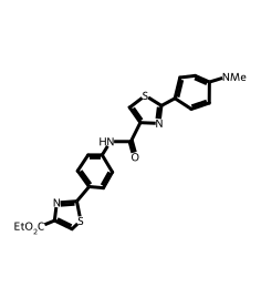 CCOC(=O)c1csc(-c2ccc(NC(=O)c3csc(-c4ccc(NC)cc4)n3)cc2)n1